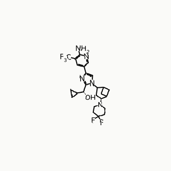 Nc1ncc(-c2cn(C3CC(N4CCC(F)(F)CC4)C4CC3C4)c([C@H](O)C3CC3)n2)cc1C(F)(F)F